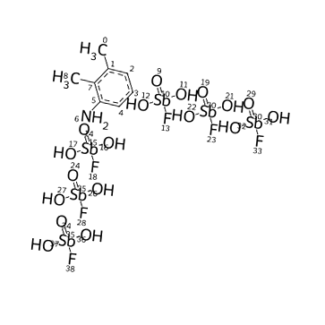 Cc1cccc(N)c1C.[O]=[Sb]([OH])([OH])[F].[O]=[Sb]([OH])([OH])[F].[O]=[Sb]([OH])([OH])[F].[O]=[Sb]([OH])([OH])[F].[O]=[Sb]([OH])([OH])[F].[O]=[Sb]([OH])([OH])[F]